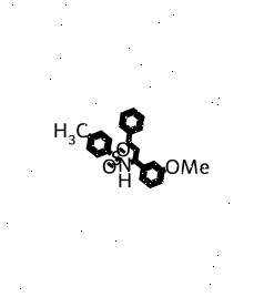 COc1cccc(C(CCc2ccccc2)NS(=O)(=O)c2ccc(C)cc2)c1